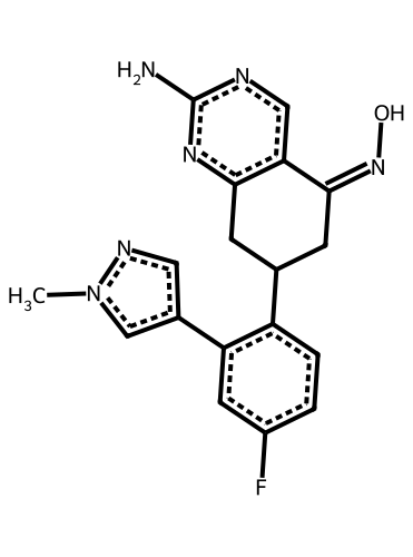 Cn1cc(-c2cc(F)ccc2C2C/C(=N/O)c3cnc(N)nc3C2)cn1